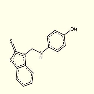 Oc1ccc(NCn2c(=S)sc3ccccc32)cc1